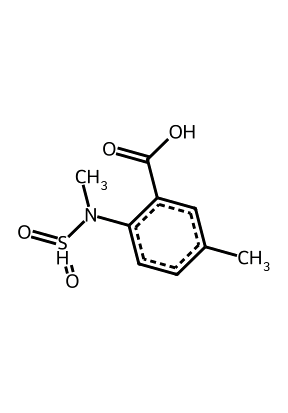 Cc1ccc(N(C)[SH](=O)=O)c(C(=O)O)c1